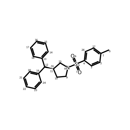 Cc1ccc(S(=O)(=O)N2CC[C@@H](C(c3ccccc3)c3ccccc3)C2)cc1